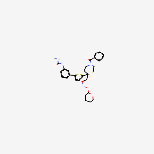 CCNC(=O)Nc1cccc(-c2ccc(C3(CC(=O)NOC4CCCCO4)CCN(C(=O)c4ccccc4)CCS3(=O)=O)s2)c1